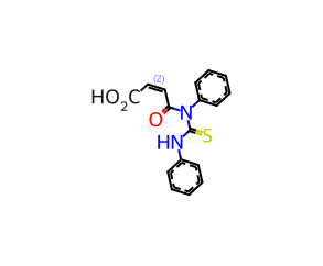 O=C(O)/C=C\C(=O)N(C(=S)Nc1ccccc1)c1ccccc1